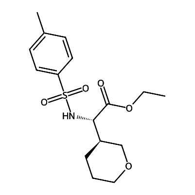 CCOC(=O)[C@@H](NS(=O)(=O)c1ccc(C)cc1)[C@@H]1CCCOC1